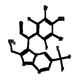 CCc1nc2ncc(C(F)(F)F)cn2c1C(C=O)c1c(F)c(Br)c(O)c(Br)c1F